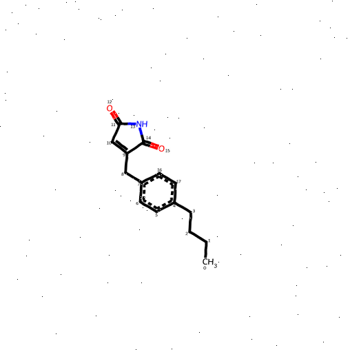 CCCCc1ccc(CC2=CC(=O)NC2=O)cc1